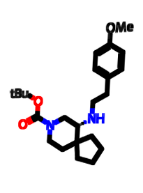 COc1ccc(CCN[C@H]2CN(C(=O)OC(C)(C)C)CCC23CCCC3)cc1